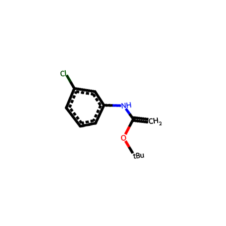 C=C(Nc1cccc(Cl)c1)OC(C)(C)C